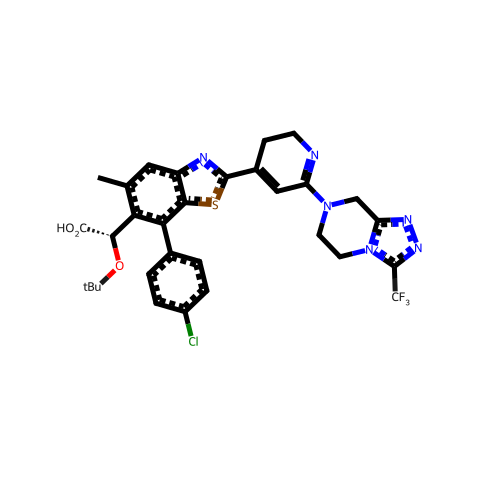 Cc1cc2nc(C3=CC(N4CCn5c(nnc5C(F)(F)F)C4)=NCC3)sc2c(-c2ccc(Cl)cc2)c1[C@H](OC(C)(C)C)C(=O)O